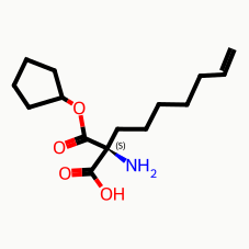 C=CCCCCC[C@](N)(C(=O)O)C(=O)OC1CCCC1